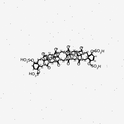 C[C@]12N3Cc4c(OS(=O)(=O)O)ccc(OS(=O)(=O)O)c4CN1C(=O)N1CN4C(=O)N5CN6C(=O)N7CN8C(=O)N9Cc%10c(OS(=O)(=O)O)ccc(OS(=O)(=O)O)c%10CN%10C(=O)N(CN%11C(=O)N(CN%12C(=O)N(CN(C3=O)[C@]12C)[C@@H]4[C@H]%125)[C@@H]6[C@H]%117)[C@]8(C)[C@@]9%10C